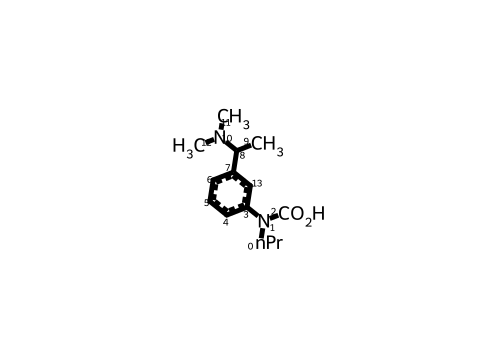 CCCN(C(=O)O)c1cccc(C(C)N(C)C)c1